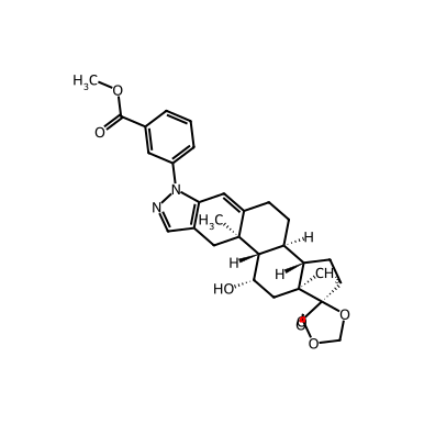 COC(=O)c1cccc(-n2ncc3c2C=C2CC[C@@H]4[C@H]([C@@H](O)C[C@@]5(C)[C@H]4CC[C@@]54OCOC45COCO5)[C@@]2(C)C3)c1